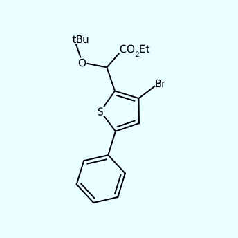 CCOC(=O)C(OC(C)(C)C)c1sc(-c2ccccc2)cc1Br